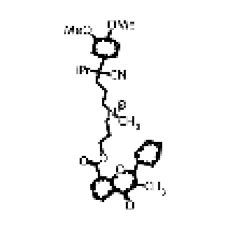 COc1ccc(C(C#N)(CCC[N+](C)([O-])CCCOC(=O)c2cccc3c(=O)c(C)c(-c4ccccc4)oc23)C(C)C)cc1OC